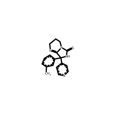 Cc1cccc(C2(c3ccncc3)NC(=S)N3CCCN=C32)c1